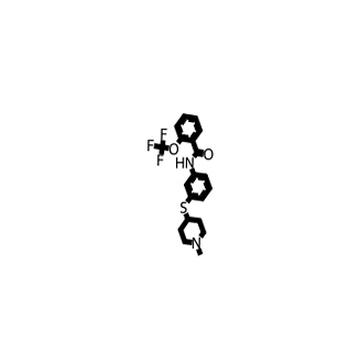 CN1CCC(Sc2cccc(NC(=O)c3ccccc3OC(F)(F)F)c2)CC1